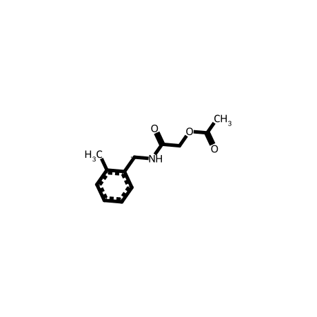 CC(=O)OCC(=O)N[CH]c1ccccc1C